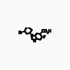 O=C(O)c1cc2c(cc1F)ncn2-c1cccc(Br)c1